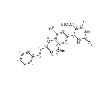 CCOC(=O)C1=C(C)NC(=O)NC1c1cc(Br)c(OC(=O)/C=C/c2ccccc2)c(OC)c1